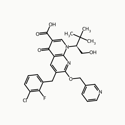 CC(C)(C)[C@@H](CO)n1cc(C(=O)O)c(=O)c2cc(Cc3cccc(Cl)c3F)c(OCc3cccnc3)nc21